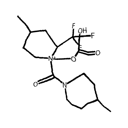 CC1CCN(C(=O)[N+]2(OC(=O)O)CCC(C)CC2C(F)(F)F)CC1